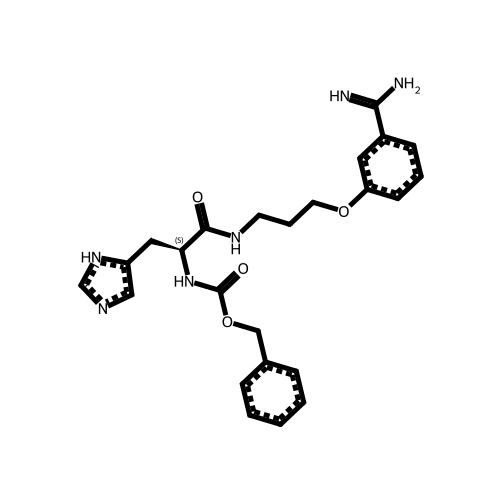 N=C(N)c1cccc(OCCCNC(=O)[C@H](Cc2cnc[nH]2)NC(=O)OCc2ccccc2)c1